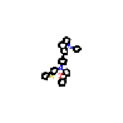 C1=Cc2c(sc3c2C=CC(N(c2ccc(-c4cc5ccc6c7c(n(-c8ccccc8)c(c4)c57)CCC=6)cc2)C2CCC=C4c5ccccc5OC42)C3)CC1